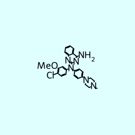 COc1cc(N(c2ccc(N3CCN(C)CC3)cc2)c2nc(N)c3ccccc3n2)ccc1Cl